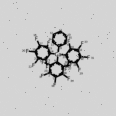 Fc1c(F)c(F)[c]([Ga-]([c]2ccccc2)([c]2c(F)c(F)c(F)c(F)c2F)[c]2c(F)c(F)c(F)c(F)c2F)c(F)c1F